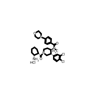 CN(C(=O)c1ccc(N2CCOCC2)cc1)[C@@H]1CCN(C(=O)[C@H]2CCCC[C@H]2N)C[C@H]1c1ccc(Cl)c(Cl)c1.Cl